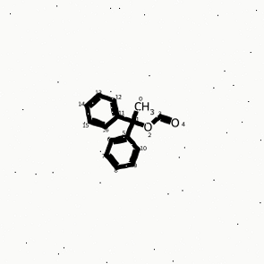 CC(O[C]=O)(c1ccccc1)c1ccccc1